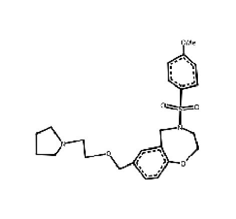 COc1ccc(S(=O)(=O)N2CCOc3ccc(COCCN4CCCC4)cc3C2)cc1